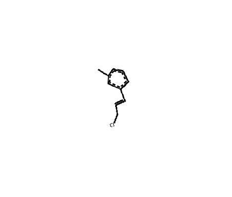 Cc1cccc(C=CCCl)c1